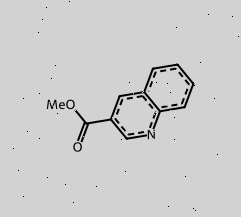 COC(=O)c1cnc2ccccc2c1